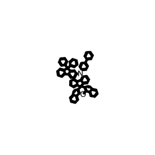 c1ccc(-c2ccc(N(c3ccc4c(c3)C(c3ccccc3)(c3ccccc3)c3ccccc3-4)c3cccc4c3-c3ccccc3C43c4ccc5ccccc5c4Oc4c3ccc3ccccc43)cc2)cc1